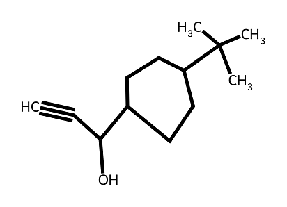 C#CC(O)C1CCC(C(C)(C)C)CC1